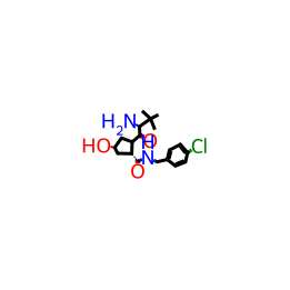 CC(C)(C)[C@H](N)C(=O)C1C[C@H](O)C[C@H]1C(=O)NCc1ccc(Cl)cc1